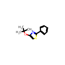 CC(C)(C)Oc1csc(-c2cc[c]cc2)n1